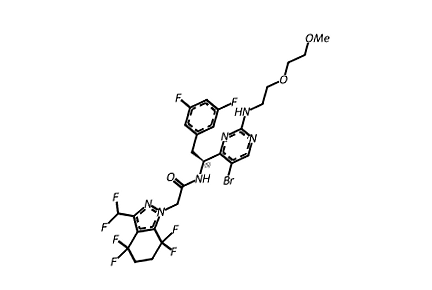 COCCOCCNc1ncc(Br)c([C@H](Cc2cc(F)cc(F)c2)NC(=O)Cn2nc(C(F)F)c3c2C(F)(F)CCC3(F)F)n1